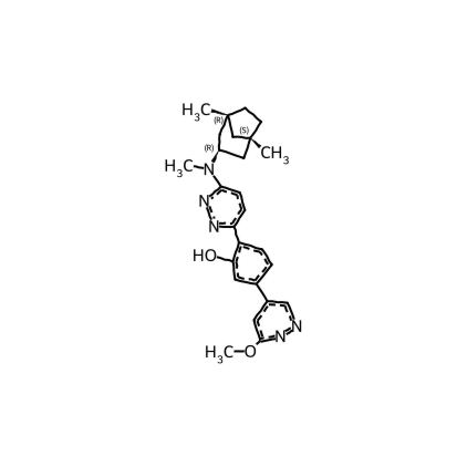 COc1cc(-c2ccc(-c3ccc(N(C)[C@H]4C[C@]5(C)CC[C@](C)(C4)C5)nn3)c(O)c2)cnn1